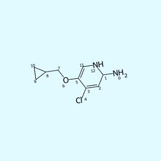 NC1C=C(Cl)C(OCC2CC2)=CN1